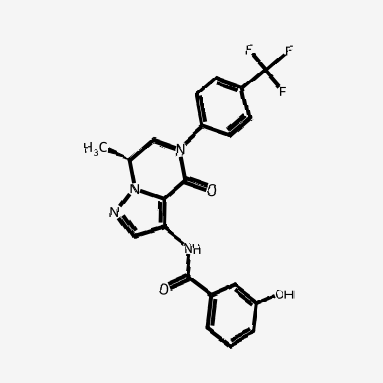 C[C@H]1CN(c2ccc(C(F)(F)F)cc2)C(=O)c2c(NC(=O)c3cccc(O)c3)cnn21